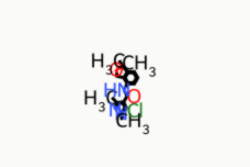 Cc1nn(C)c(Cl)c1C(=O)Nc1cccc2c1COC2(C)C